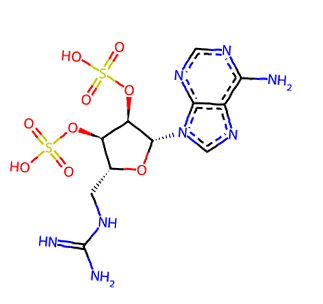 N=C(N)NC[C@H]1O[C@@H](n2cnc3c(N)ncnc32)[C@H](OS(=O)(=O)O)[C@@H]1OS(=O)(=O)O